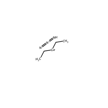 C[CH2][Ga][CH2]C.[N-]=[N+]=N